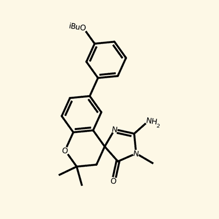 CC(C)COc1cccc(-c2ccc3c(c2)C2(CC(C)(C)O3)N=C(N)N(C)C2=O)c1